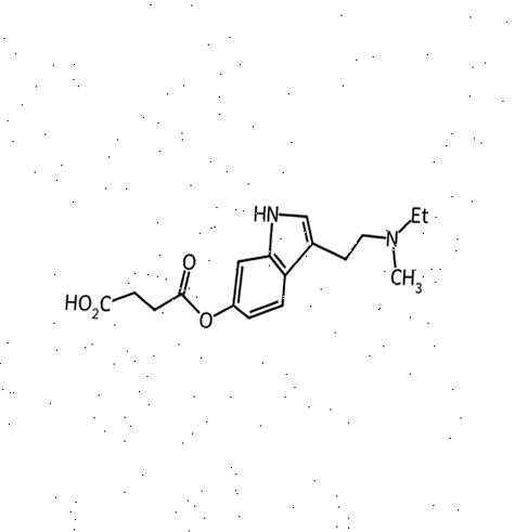 CCN(C)CCc1c[nH]c2cc(OC(=O)CCC(=O)O)ccc12